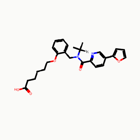 [2H]C(C)(C)N(Cc1ccccc1OCCCCCC(=O)O)C(=O)c1ccc(-c2ccco2)cn1